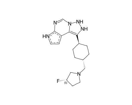 F[C@H]1CCN(C[C@H]2CC[C@H](C3=C4c5cc[nH]c5N=CN4NN3)CC2)C1